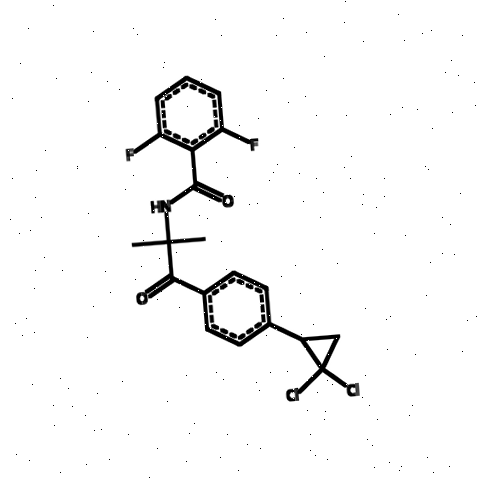 CC(C)(NC(=O)c1c(F)cccc1F)C(=O)c1ccc(C2CC2(Cl)Cl)cc1